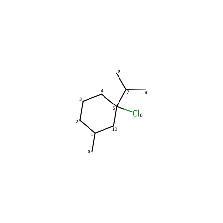 CC1CCCC(Cl)(C(C)C)C1